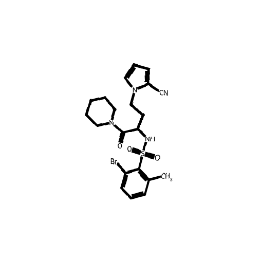 Cc1cccc(Br)c1S(=O)(=O)NC(CCn1cccc1C#N)C(=O)N1CCCCC1